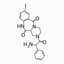 NC(C(=O)N1CCN2C(=O)c3cc(I)ccc3NC(=O)C2C1)c1ccccc1